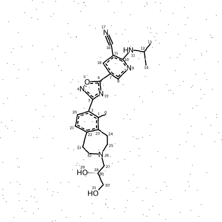 Cc1c(-c2noc(-c3cnc(NC(C)C)c(C#N)c3)n2)ccc2c1CCN(C[C@@H](O)CO)CC2